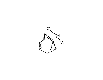 C1=C2CCC(=C1)C2.[Cl][Pd][Cl]